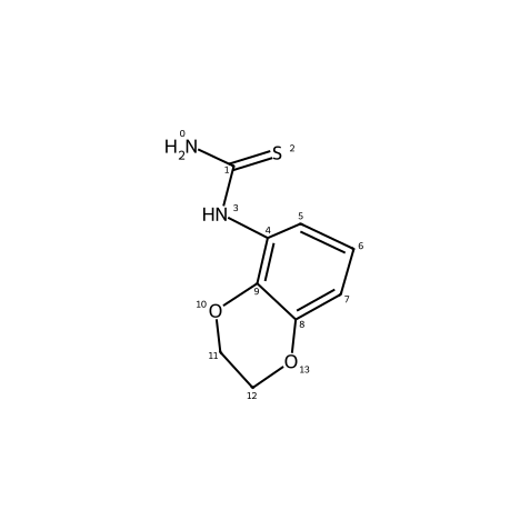 NC(=S)Nc1cccc2c1OCCO2